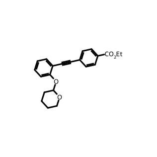 CCOC(=O)c1ccc(C#Cc2ccccc2OC2CCCCO2)cc1